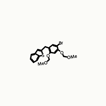 COCOc1cc(OCOC)c(Cc2cc3ccccc3s2)cc1Br